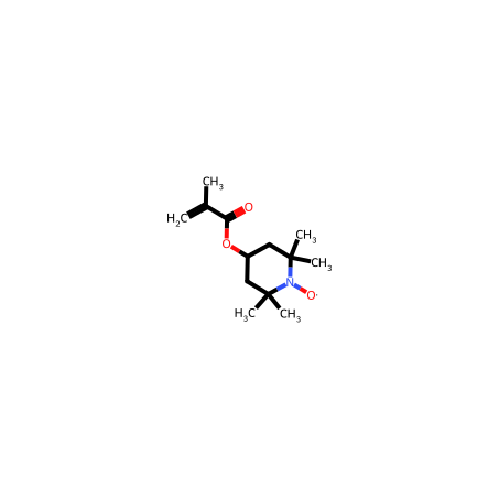 C=C(C)C(=O)OC1CC(C)(C)N([O])C(C)(C)C1